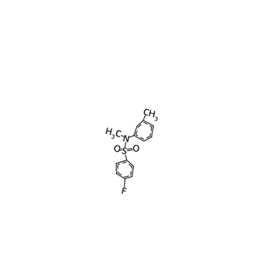 Cc1cccc(N(C)S(=O)(=O)c2ccc(F)cc2)c1